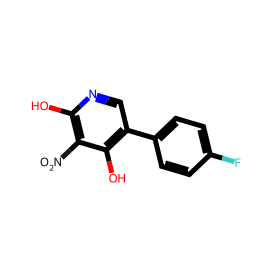 O=[N+]([O-])c1c(O)ncc(-c2ccc(F)cc2)c1O